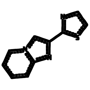 c1ccn2cc(-c3nccs3)nc2c1